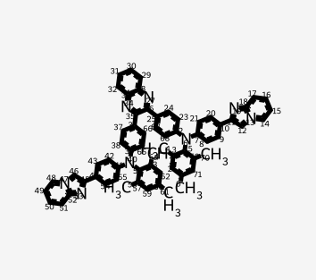 Cc1cc(C)c(N(c2ccc(-c3cn4ccccc4n3)cc2)c2ccc(-c3nc4ccccc4nc3-c3ccc(N(c4ccc(-c5cn6ccccc6n5)cc4)c4c(C)cc(C)cc4C)cc3)cc2)c(C)c1